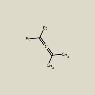 CCC(=C=C(C)C)CC